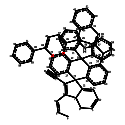 C#CC1=C(/C=C\C)C2CC=CC=C2C12c1ccccc1C1(c3ccccc3-c3ccccc31)c1c(C(C)C3=Nc4ccccc4C(C4=CC=C(c5ccccc5)CC4)N3)cccc12